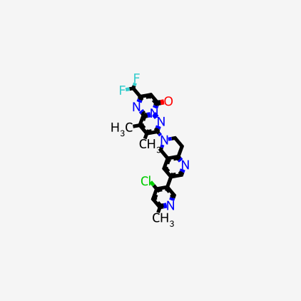 Cc1cc(Cl)c(-c2cnc3c(c2)CN(c2nn4c(=O)cc(C(F)F)nc4c(C)c2C)CC3)cn1